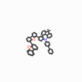 CC1(C)c2ccccc2-c2c(N(c3ccc(-c4ccccc4)cc3)c3ccc(-c4cccc5c4oc4c(-c6cccc7c6oc6ccccc67)cccc45)cc3)cccc21